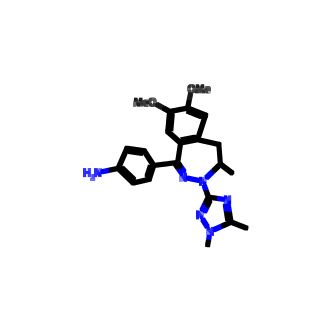 COc1cc2c(cc1OC)C(c1ccc(N)cc1)=NN(c1nc(C)n(C)n1)C(C)C2